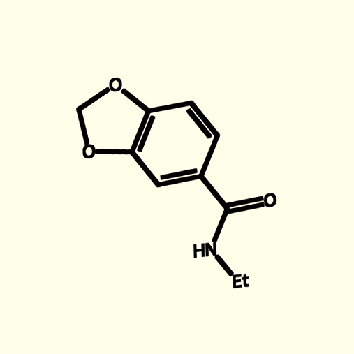 CCNC(=O)c1ccc2c(c1)OCO2